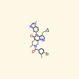 Cc1cc(C(=O)N2Cc3c(c(=O)n(-c4ccc5c(c4)ncn5C)c4c(CC5CC5)cnn34)CC2C)ccc1Br